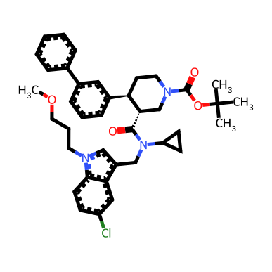 COCCCn1cc(CN(C(=O)[C@H]2CN(C(=O)OC(C)(C)C)CC[C@@H]2c2cccc(-c3ccccc3)c2)C2CC2)c2cc(Cl)ccc21